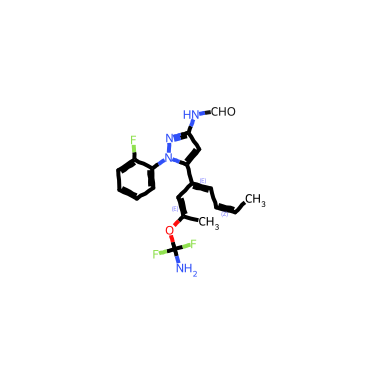 C\C=C/C=C(\C=C(/C)OC(N)(F)F)c1cc(NC=O)nn1-c1ccccc1F